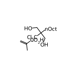 C=C(C)C(=O)O.CCCCCCCCC(CO)(CO)C(Cl)(Cl)Cl